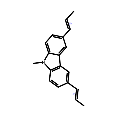 C/C=C/c1ccc2c(c1)c1cc(/C=C/C)ccc1n2C